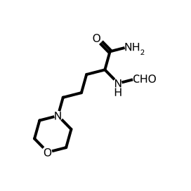 NC(=O)C(CCCN1CCOCC1)NC=O